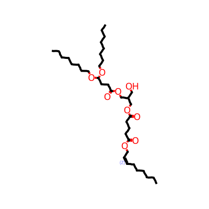 CCCCCC/C=C\COC(=O)CCCC(=O)OCC(CO)COC(=O)CCC(OCCCCCCCC)OCCCCCCCC